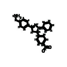 NCc1ccc(C2=NN(c3ccccc3)C(c3ccc([N+](=O)[O-])cc3)C2)cc1